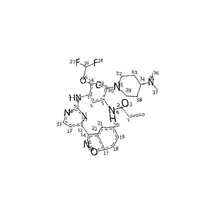 C=CC(=O)Nc1cc(Nc2nccc(-c3noc4ccccc34)n2)c(OC(F)F)cc1N1CCC(N(C)C)CC1